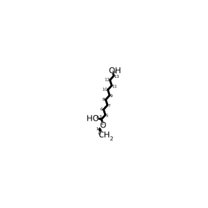 C=COC(O)CCCCCCCCCO